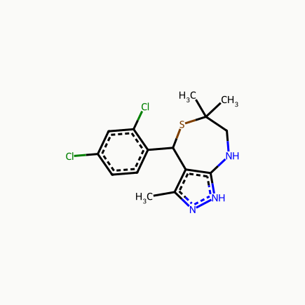 Cc1n[nH]c2c1C(c1ccc(Cl)cc1Cl)SC(C)(C)CN2